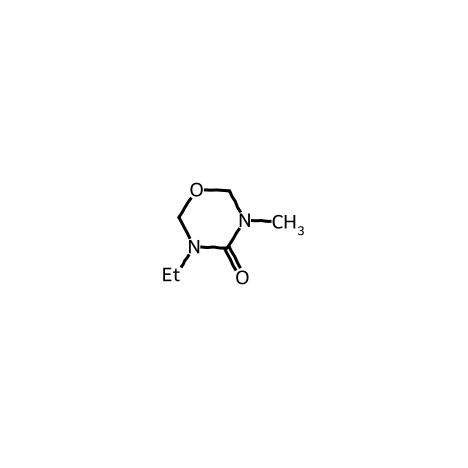 CCN1COCN(C)C1=O